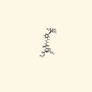 CCC(=O)NCC(NC(=O)CC)C(=O)NCCCCc1cccc(C#C[Si](C)(C)C)c1